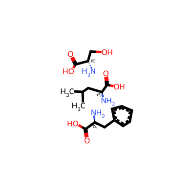 CC(C)C[C@H](N)C(=O)O.N[C@@H](CO)C(=O)O.N[C@@H](Cc1ccccc1)C(=O)O